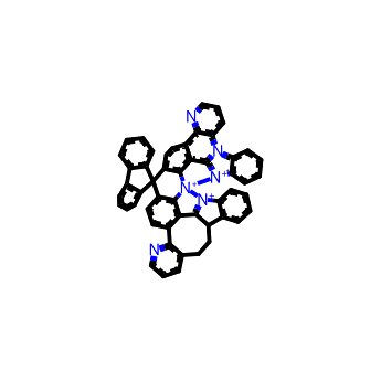 c1cnc2c(c1)CCC1C3=[N+](c4ccccc41)[N+]14c5c(ccc-2c53)C2(c3ccccc3-c3ccccc32)c2ccc3c5ncccc5n5c6ccccc6[n+]1c5c3c24